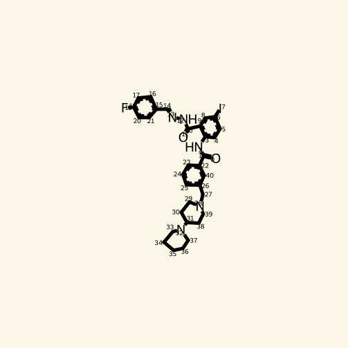 O=C(Nc1ccc(I)cc1C(=O)NN=Cc1ccc(F)cc1)c1cccc(CN2CCC(N3CCCCC3)CC2)c1